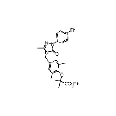 CCOC(=O)C(C)(C)Oc1c(C)cc(Cn2c(C)nn(-c3ccc(CC)cc3)c2=O)cc1C